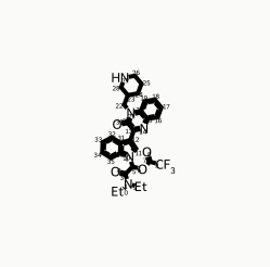 CCN(CC)C(=O)C(OC(=O)C(F)(F)F)n1cc(-c2nc3ccccc3n(CC3CCCNC3)c2=O)c2ccccc21